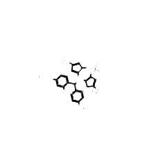 CC1=[C]([Zr]([C]2=CC(C(C)(C)C)=CC2C)=[C](c2ccc(C)cc2C)c2ccc(C)cc2C)CC(C(C)(C)C)=C1